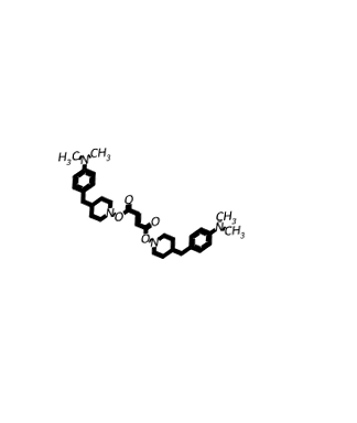 CN(C)c1ccc(CC2CCN(OC(=O)/C=C/C(=O)ON3CCC(Cc4ccc(N(C)C)cc4)CC3)CC2)cc1